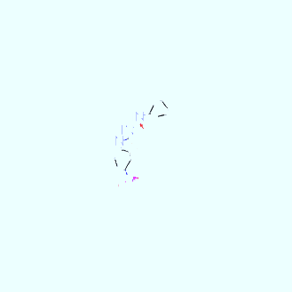 Cc1ccc(NC(=O)Nc2nc3ccc([N+](=O)[O-])cc3s2)cc1